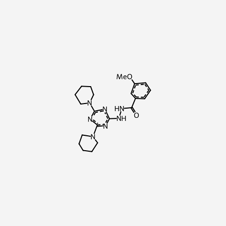 COc1cccc(C(=O)NNc2nc(N3CCCCC3)nc(N3CCCCC3)n2)c1